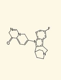 O=C1CN=CN2CC(n3c4c(c5cc(F)ccc53)CN3CCC4CC3)=CC=C12